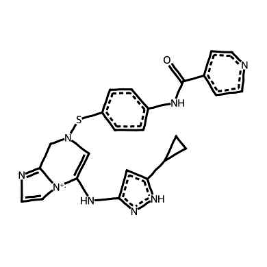 O=C(Nc1ccc(SN2C=C(Nc3cc(C4CC4)[nH]n3)[N+]3C=CN=C3C2)cc1)c1ccncc1